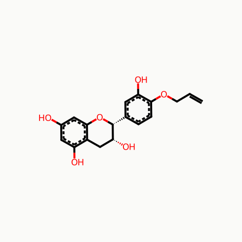 C=CCOc1ccc([C@H]2Oc3cc(O)cc(O)c3C[C@H]2O)cc1O